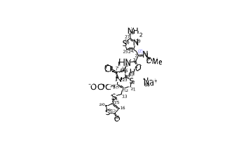 CO/N=C(\C(=O)N[C@@H]1C(=O)N2C(C(=O)[O-])=C(CSC3=CC(=O)SC3)CS[C@H]12)c1csc(N)n1.[Na+]